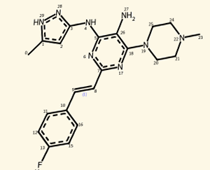 Cc1cc(Nc2nc(/C=C/c3ccc(F)cc3)nc(N3CCN(C)CC3)c2N)n[nH]1